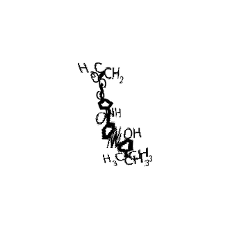 C=C(C)C(=O)OCCOc1ccc(NC(=O)c2ccc3c(c2)n2n(-c4cc(C(C)(C)C)ccc4O)n32)cc1